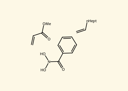 C=CC(=O)OC.C=CCCCCCCC.O=C(c1ccccc1)N(O)O